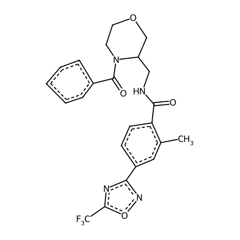 Cc1cc(-c2noc(C(F)(F)F)n2)ccc1C(=O)NCC1COCCN1C(=O)c1ccccc1